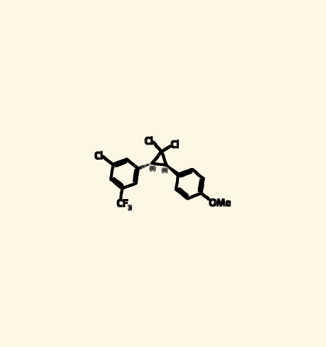 COc1ccc([C@H]2[C@H](c3cc(Cl)cc(C(F)(F)F)c3)C2(Cl)Cl)cc1